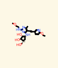 CCOc1ccc(C#Cc2c(C)nc(NCCOC)nc2N[C@@H]2C[C@H](CO)[C@@H](O)[C@H]2O)cn1